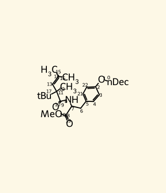 CCCCCCCCCCOc1ccc(CC(NC(=O)C(C)(C=C(C)C)C(C)(C)C)C(=O)OC)cc1